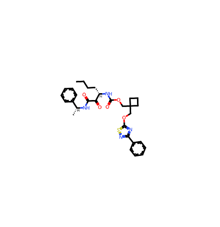 CCCC[C@H](NC(=O)OCC1(COc2nc(-c3ccccc3)ns2)CCC1)C(=O)C(=O)N[C@H](C)c1ccccc1